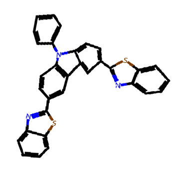 c1ccc(-n2c3ccc(-c4nc5ccccc5s4)cc3c3cc(-c4nc5ccccc5s4)ccc32)cc1